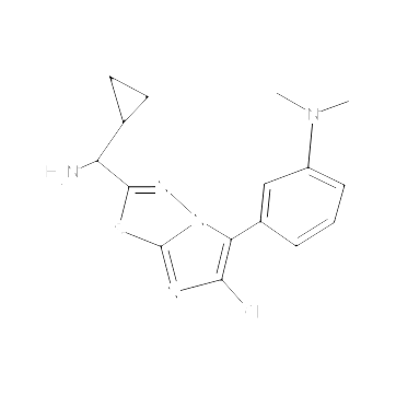 CN(C)c1cccc(-c2c(Cl)nc3sc(C(N)C4CC4)nn23)c1